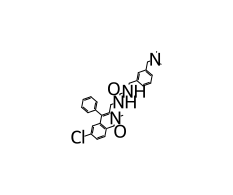 CN(C)Cc1cccc(CNC(=O)NCc2c(-c3ccccc3)c3cc(Cl)ccc3c(=O)n2C)c1